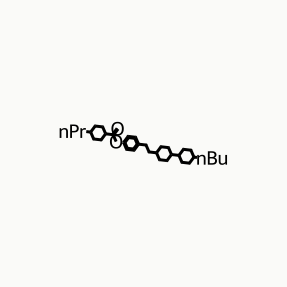 CCCCC1CCC(C2CCC(CCc3ccc(OC(=O)C4CCC(CCC)CC4)cc3)CC2)CC1